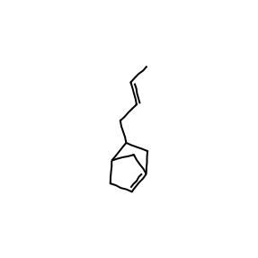 CC=CCC1CC2=CCC1C2